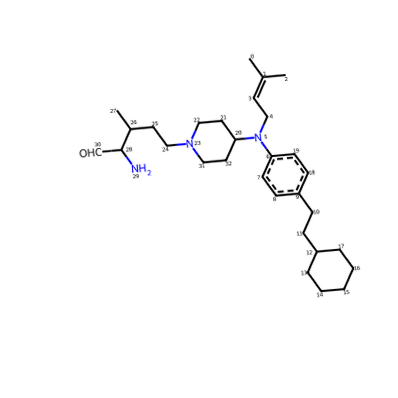 CC(C)=CCN(c1ccc(CCC2CCCCC2)cc1)C1CCN(CCC(C)C(N)C=O)CC1